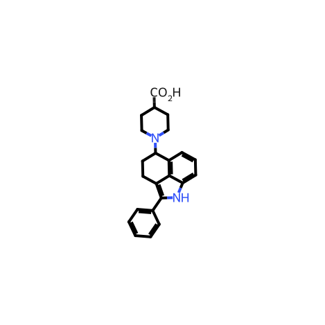 O=C(O)C1CCN(C2CCc3c(-c4ccccc4)[nH]c4cccc2c34)CC1